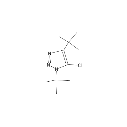 CC(C)(C)c1nnn(C(C)(C)C)c1Cl